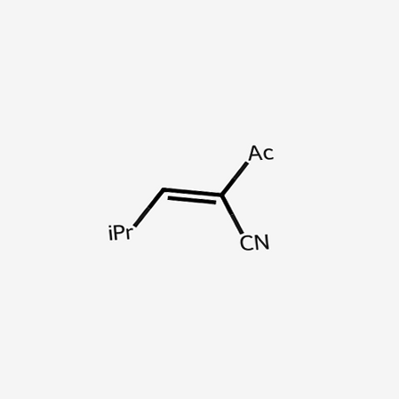 CC(=O)/C(C#N)=C/C(C)C